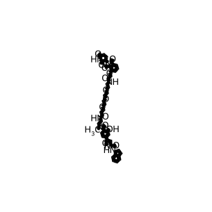 CN(CCNC(=O)CCOCCOCCOCCNC(=O)COc1cccc2c1C(=O)N(C1CCC(=O)NC1=O)C2=O)C(=O)c1ccc(-c2cc(C(=O)N[C@@H]3CCc4ccccc43)no2)cc1O